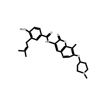 COc1ccc(C(=O)Nc2cc3ccc(OC4CCN(C)CC4)c(C)c3oc2=O)cc1CC=C(C)C